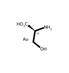 N[C@@H](CO)C(=O)O.[Au]